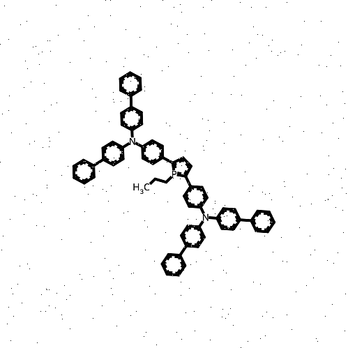 CCCp1c(-c2ccc(N(c3ccc(-c4ccccc4)cc3)c3ccc(-c4ccccc4)cc3)cc2)ccc1-c1ccc(N(c2ccc(-c3ccccc3)cc2)c2ccc(-c3ccccc3)cc2)cc1